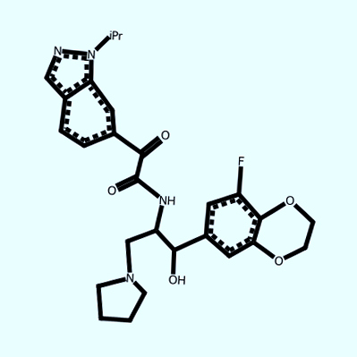 CC(C)n1ncc2ccc(C(=O)C(=O)NC(CN3CCCC3)C(O)c3cc(F)c4c(c3)OCCO4)cc21